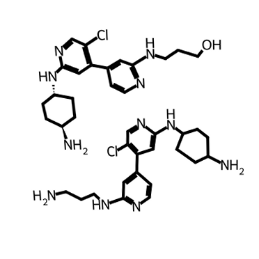 NCCCNc1cc(-c2cc(NC3CCC(N)CC3)ncc2Cl)ccn1.N[C@H]1CC[C@H](Nc2cc(-c3ccnc(NCCCO)c3)c(Cl)cn2)CC1